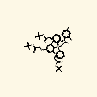 CC(C)(C)OC(=O)COc1cc(OCC(=O)OC(C)(C)C)c(S(OS(=O)(=O)c2ccc(F)cc2F)(c2ccccc2)c2ccccc2)c(OCC(=O)OC(C)(C)C)c1